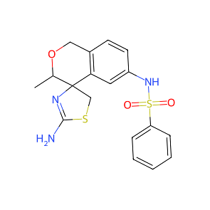 CC1OCc2ccc(NS(=O)(=O)c3ccccc3)cc2C12CSC(N)=N2